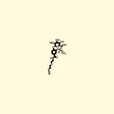 COS(=O)(=O)Oc1cc(C(=O)NCCOCCN=[N+]=[N-])ccc1O[C@H]1O[C@H](CO)[C@H](O)[C@H](O)[C@H]1O